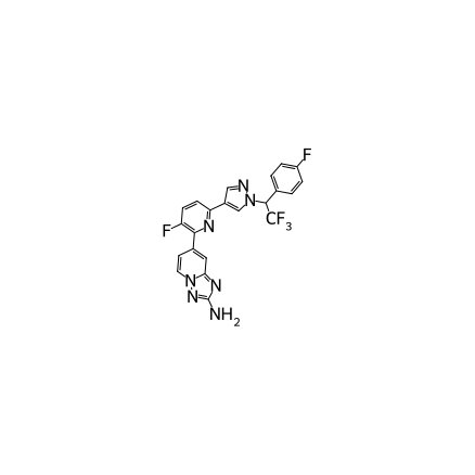 Nc1nc2cc(-c3nc(-c4cnn(C(c5ccc(F)cc5)C(F)(F)F)c4)ccc3F)ccn2n1